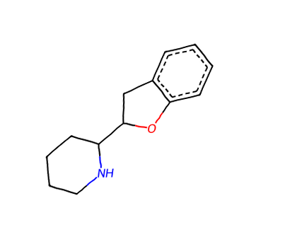 c1ccc2c(c1)CC(C1CCCCN1)O2